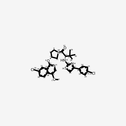 COc1cnc(O[C@@H]2CCN(C(=O)[C@@H](Nc3nc(-c4ccc(Cl)cc4)cs3)C(C)(C)C)C2)c2cc(Cl)ccc12